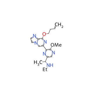 C=CCCOc1nc(-c2nc(C(C)NCC)cnc2OC)cn2ccnc12